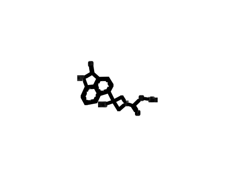 CC(C)(C)OC(=O)N1CC(O)(c2ccc3c4c(cccc24)NC3=O)C1